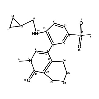 Cn1cc(-c2cc(S(C)(=O)=O)ccc2NCC2CC2)c2c(c1=O)CCCC2